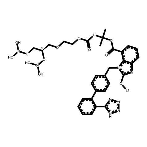 CCOc1nc2cccc(C(=O)OC(C)(C)OC(=O)OCCOC[C@H](CON(O)O)ON(O)O)c2n1Cc1ccc(-c2ccccc2-c2nnn[nH]2)cc1